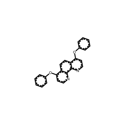 c1ccc(Oc2ccnc3c2ccc2c(Oc4ccccc4)ccnc23)cc1